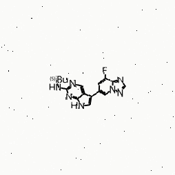 CC[C@H](C)Nc1ncc2c(-c3cc(F)c4ncnn4c3)c[nH]c2n1